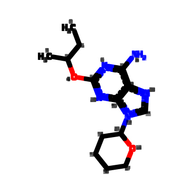 CCC(C)Oc1nc(N)c2ncn(C3CCCCO3)c2n1